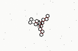 c1ccc(-c2ccc(N(c3ccc(-c4ccccc4)cc3)c3ccc(-c4cccc5cccc(-c6ccc(N(c7ccc(-c8ccccc8)cc7)c7ccc(-c8ccccc8)cc7)cc6)c45)cc3)cc2)cc1